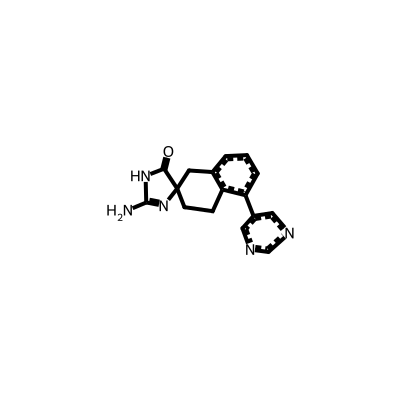 NC1=NC2(CCc3c(cccc3-c3cncnc3)C2)C(=O)N1